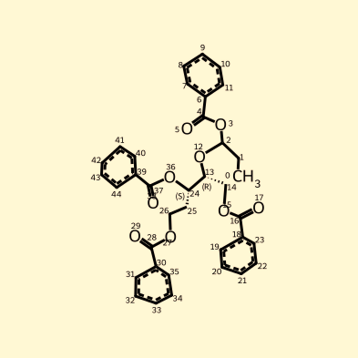 CCC(OC(=O)c1ccccc1)O[C@H](COC(=O)c1ccccc1)[C@H](CCOC(=O)c1ccccc1)OC(=O)c1ccccc1